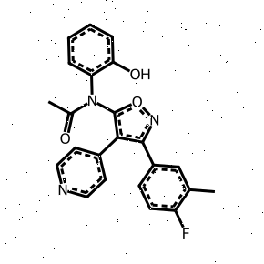 CC(=O)N(c1ccccc1O)c1onc(-c2ccc(F)c(C)c2)c1-c1ccncc1